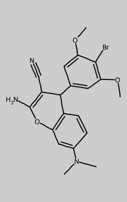 COc1cc(C2C(C#N)=C(N)Oc3cc(N(C)C)ccc32)cc(OC)c1Br